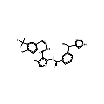 Cc1csc(NC(=O)c2cccc(C(S)c3nc[nH]n3)c2)c1C(=O)N/N=C\c1ccc(Cl)c(C(F)(F)F)c1